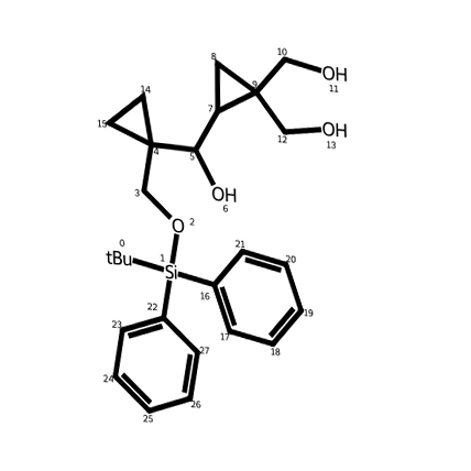 CC(C)(C)[Si](OCC1(C(O)C2CC2(CO)CO)CC1)(c1ccccc1)c1ccccc1